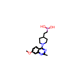 COc1ccc2c(N3CCC(CCP(O)O)CC3)nc(C)nc2c1